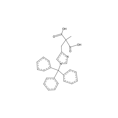 CC(Cc1cn(C(c2ccccc2)(c2ccccc2)c2ccccc2)cn1)(C(=O)O)C(=O)O